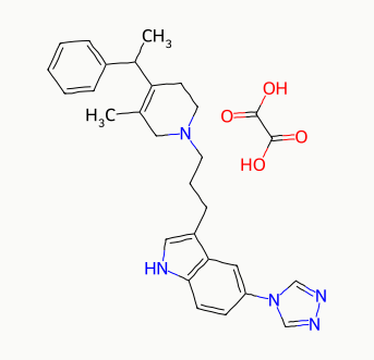 CC1=C(C(C)c2ccccc2)CCN(CCCc2c[nH]c3ccc(-n4cnnc4)cc23)C1.O=C(O)C(=O)O